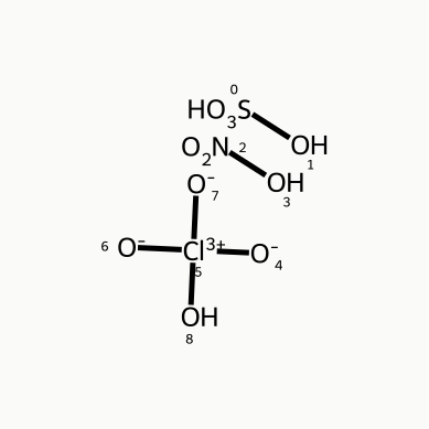 O=S(=O)(O)O.O=[N+]([O-])O.[O-][Cl+3]([O-])([O-])O